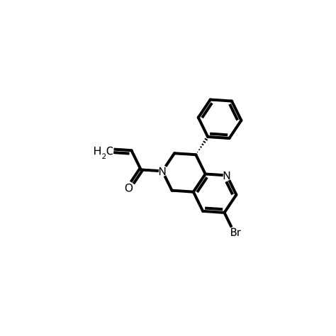 C=CC(=O)N1Cc2cc(Br)cnc2[C@@H](c2ccccc2)C1